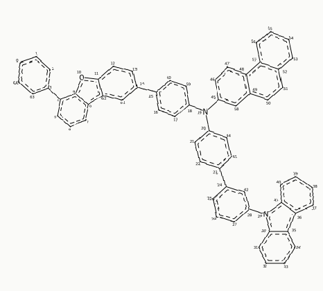 c1ccc(-c2cccc3c2oc2ccc(-c4ccc(N(c5ccc(-c6cccc(-n7c8ccccc8c8ccccc87)c6)cc5)c5ccc6c(ccc7ccccc76)c5)cc4)cc23)cc1